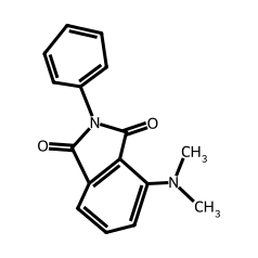 CN(C)c1cccc2c1C(=O)N(c1ccccc1)C2=O